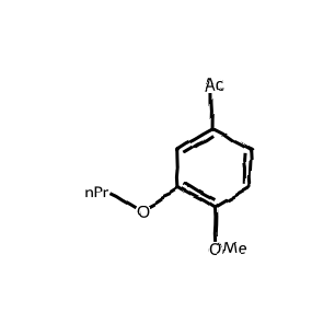 [CH2]CCOc1cc(C(C)=O)ccc1OC